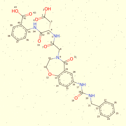 O=C(O)C[C@H](NC(=O)CN1CCOc2ccc(NC(=O)NCc3ccccc3)cc2C1=O)C(=O)Nc1ccccc1C(=O)O